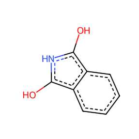 Oc1[nH]c(O)c2ccccc12